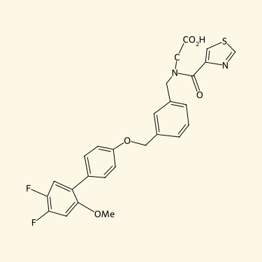 COc1cc(F)c(F)cc1-c1ccc(OCc2cccc(CN(CC(=O)O)C(=O)c3cscn3)c2)cc1